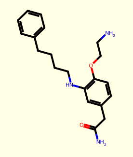 NCCOc1ccc(CC(N)=O)cc1NCCCCc1ccccc1